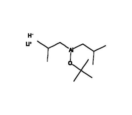 CC(C)[CH2][Al]([CH2]C(C)C)[O]C(C)(C)C.[H-].[Li+]